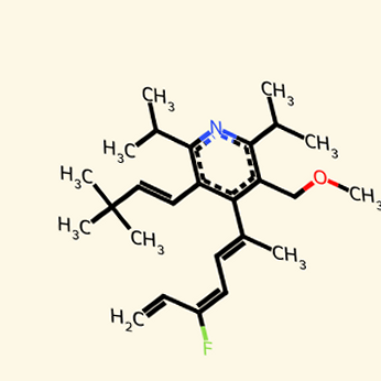 C=C/C(F)=C\C=C(/C)c1c(/C=C/C(C)(C)C)c(C(C)C)nc(C(C)C)c1COC